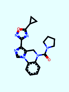 O=C(N1CCCC1)N1Cc2c(-c3noc(C4CC4)n3)ncn2-c2ccccc21